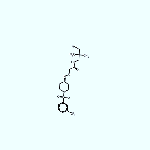 CC(C)(CO)CNC(=O)CON=C1CCN(S(=O)(=O)c2cccc(C(F)(F)F)c2)CC1